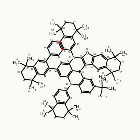 CC(C)(C)c1ccc2c(c1)B1c3c(cc(-c4cc5c(cc4-c4ccccc4)C(C)(C)CCC5(C)C)cc3N(c3ccc4c(c3)C(C)(C)CCC4(C)C)c3oc4cc5c(cc4c31)C(C)(C)CCC5(C)C)N2c1ccc2c(c1)C(C)(C)CCC2(C)C